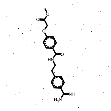 COC(=O)COc1ccc(C(=O)NCCc2ccc(C(=N)N)cc2)cc1